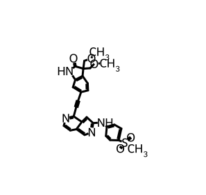 COCC1(COC)C(=O)Nc2cc(C#Cc3nccc4cnc(Nc5ccc(S(C)(=O)=O)cc5)cc34)ccc21